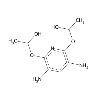 CC(O)Oc1nc(OC(C)O)c(N)cc1N